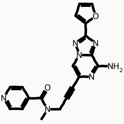 CN(CC#Cc1cn2nc(-c3ccco3)nc2c(N)n1)C(=O)c1ccncc1